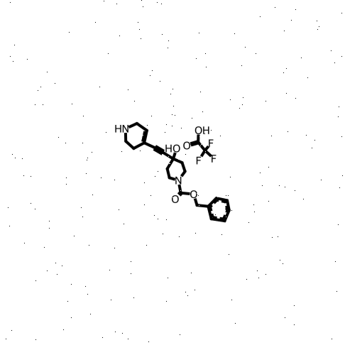 O=C(O)C(F)(F)F.O=C(OCc1ccccc1)N1CCC(O)(C#CC2=CCNCC2)CC1